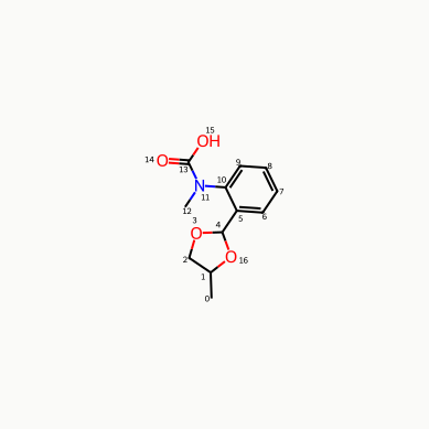 CC1COC(c2ccccc2N(C)C(=O)O)O1